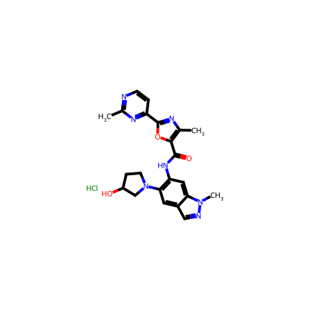 Cc1nccc(-c2nc(C)c(C(=O)Nc3cc4c(cnn4C)cc3N3CCC(O)C3)o2)n1.Cl